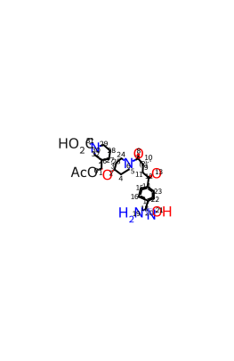 CC(=O)OC(OC1CCN(C(=O)[C@H](C)CC(=O)c2ccc(/C(N)=N\O)cc2)CC1)C1CCCN(C(=O)O)C1